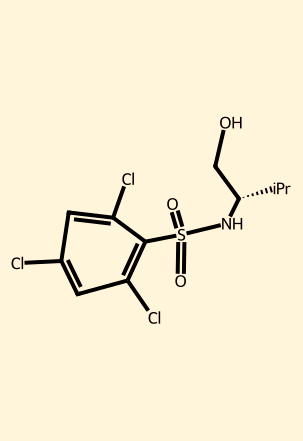 CC(C)[C@@H](CO)NS(=O)(=O)c1c(Cl)cc(Cl)cc1Cl